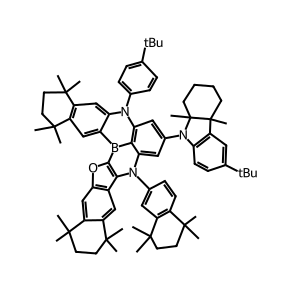 CC(C)(C)c1ccc(N2c3cc4c(cc3B3c5oc6cc7c(cc6c5N(c5ccc6c(c5)C(C)(C)CCC6(C)C)c5cc(N6c8ccc(C(C)(C)C)cc8C8(C)CCCCC68C)cc2c53)C(C)(C)CCC7(C)C)C(C)(C)CCC4(C)C)cc1